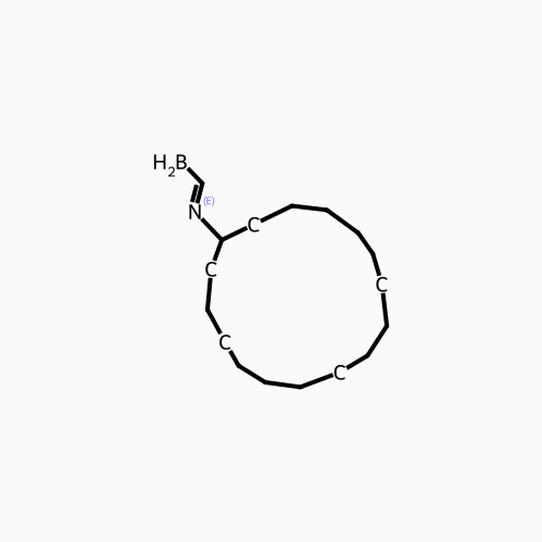 B/C=N/C1CCCCCCCCCCCCCCC1